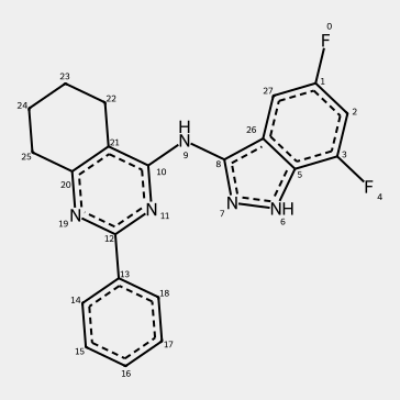 Fc1cc(F)c2[nH]nc(Nc3nc(-c4ccccc4)nc4c3CCCC4)c2c1